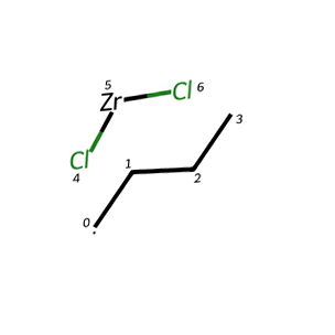 [CH2]CCC.[Cl][Zr][Cl]